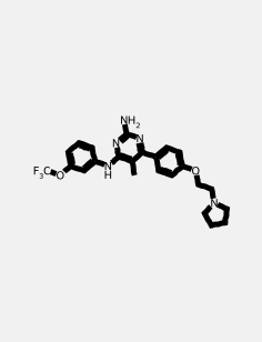 Cc1c(Nc2cccc(OC(F)(F)F)c2)nc(N)nc1-c1ccc(OCCN2CCCC2)cc1